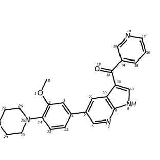 COc1cc(-c2cnc3[nH]cc(C(=O)c4cccnc4)c3c2)ccc1N1CCOCC1